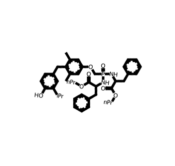 CCCOC(=O)C(Cc1ccccc1)NP(=O)(COc1cc(C)c(Cc2ccc(O)c(C(C)C)c2)c(C)c1)NC(Cc1ccccc1)C(=O)OCCC